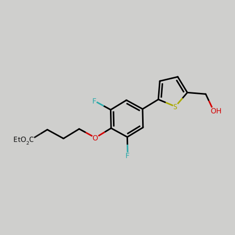 CCOC(=O)CCCOc1c(F)cc(-c2ccc(CO)s2)cc1F